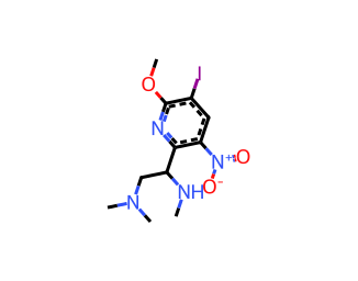 CNC(CN(C)C)c1nc(OC)c(I)cc1[N+](=O)[O-]